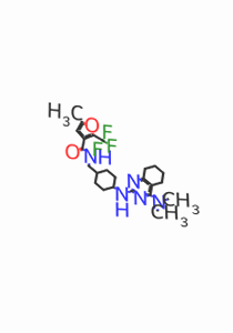 Cc1cc(C(=O)NCC2CCC(Nc3nc4c(c(N(C)C)n3)CCCC4)CC2)c(C(F)(F)F)o1